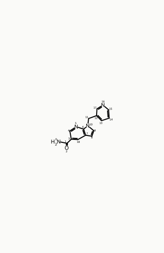 NC(=O)c1cnc2c(ccn2Cc2cccnc2)c1